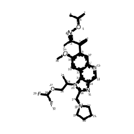 C=C(/C(C)=N\OC(C)C)c1cc2ncc3nc(CN4CCCC4)n(C(C)COC(F)F)c3c2cc1OC